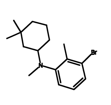 Cc1c(Br)cccc1N(C)C1CCCC(C)(C)C1